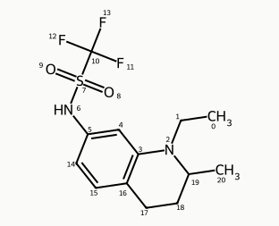 CCN1c2cc(NS(=O)(=O)C(F)(F)F)ccc2CCC1C